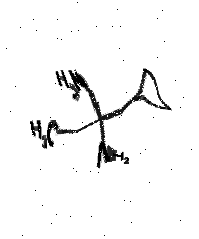 CC(N)(N)C1CC1